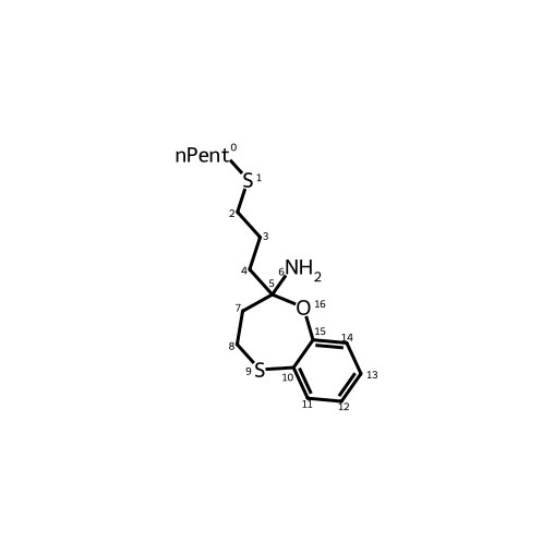 CCCCCSCCCC1(N)CCSc2ccccc2O1